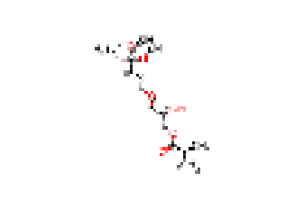 C=C(C)C(=O)OCC(O)COCCC[Si](O[SiH3])(O[SiH3])O[SiH3]